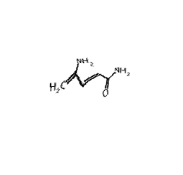 C=C(N)C=CC(N)=O